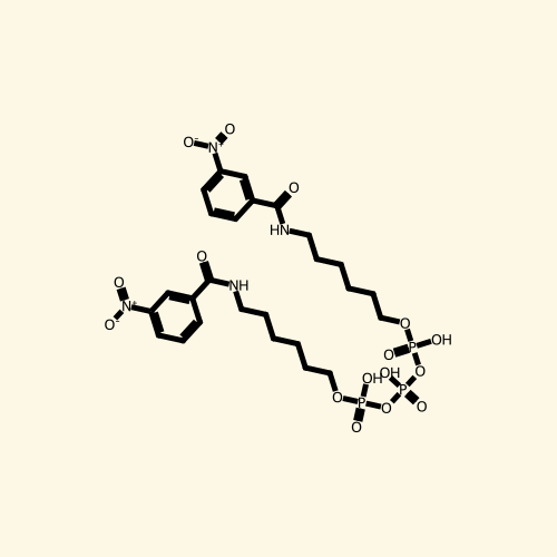 O=C(NCCCCCCOP(=O)(O)OP(=O)(O)OP(=O)(O)OCCCCCCNC(=O)c1cccc([N+](=O)[O-])c1)c1cccc([N+](=O)[O-])c1